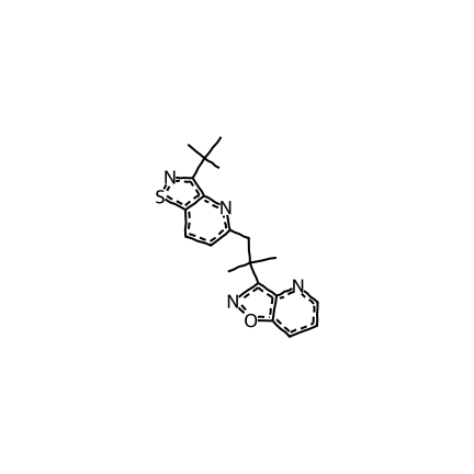 CC(C)(C)c1nsc2ccc(CC(C)(C)c3noc4cccnc34)nc12